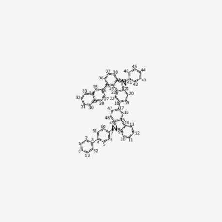 c1ccc(-c2ccc(-n3c4ccccc4c4cc(-c5ccc6c(c5)c5c(-c7ccc8ccccc8c7)cccc5n6-c5ccccc5)ccc43)cc2)cc1